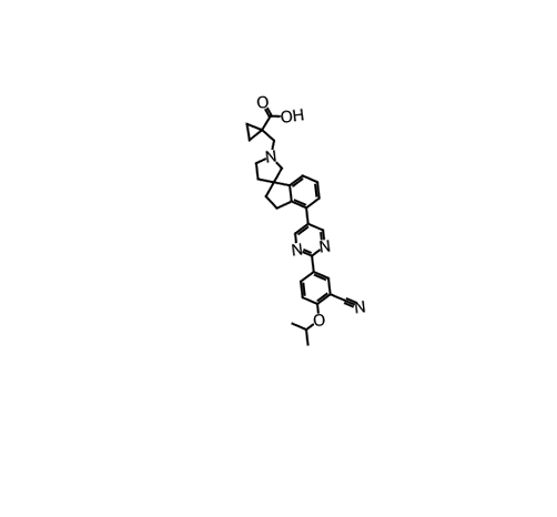 CC(C)Oc1ccc(-c2ncc(-c3cccc4c3CCC43CCN(CC4(C(=O)O)CC4)C3)cn2)cc1C#N